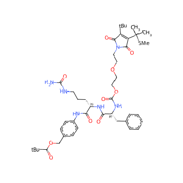 CSC(C)(C)C1=C(C(C)(C)C)C(=O)N(CCOCCOC(=O)N[C@H](Cc2ccccc2)C(=O)N[C@@H](CCCNC(N)=O)C(=O)Nc2ccc(COC(=O)C(C)(C)C)cc2)C1=O